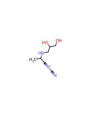 CC(C#[N+]C#N)NCC(O)CO